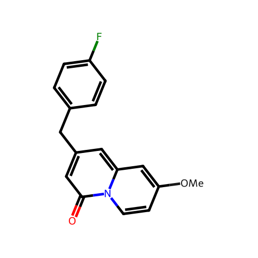 COc1ccn2c(=O)cc(Cc3ccc(F)cc3)cc2c1